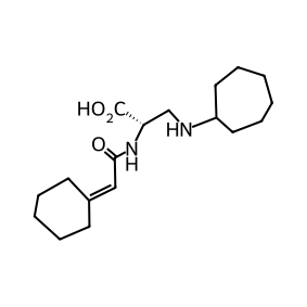 O=C(C=C1CCCCC1)N[C@@H](CNC1CCCCCC1)C(=O)O